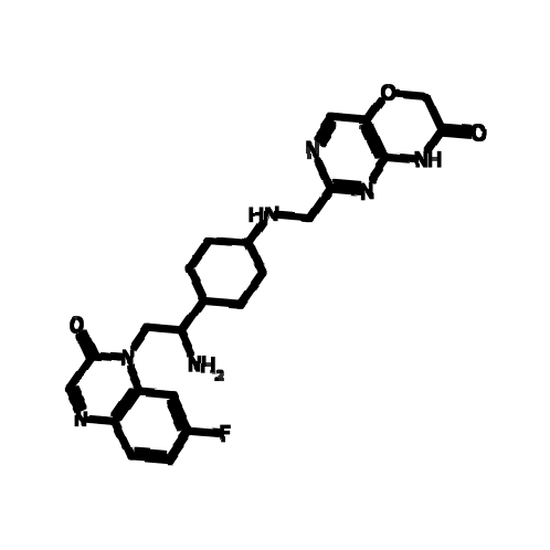 NC(Cn1c(=O)cnc2ccc(F)cc21)C1CCC(NCc2ncc3c(n2)NC(=O)CO3)CC1